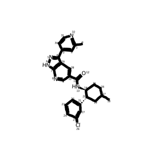 Cc1cc(-c2n[nH]c3ncc(C(=O)N[C@H]4CCC(C)C[C@@H]4c4cccc(Cl)c4)cc23)ccn1